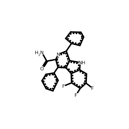 NC(=O)c1nc(-c2ccccc2)c2[nH]c3cc(F)c(F)c(F)c3c2c1-c1ccccc1